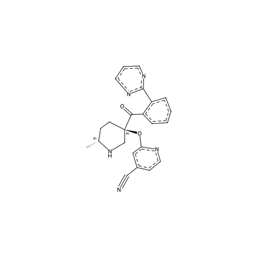 C[C@@H]1CC[C@](Oc2cc(C#N)ccn2)(C(=O)c2ccccc2-c2ncccn2)CN1